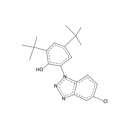 CC(C)(C)c1cc(-n2nnc3cc(Cl)ccc32)c(O)c(C(C)(C)C)c1